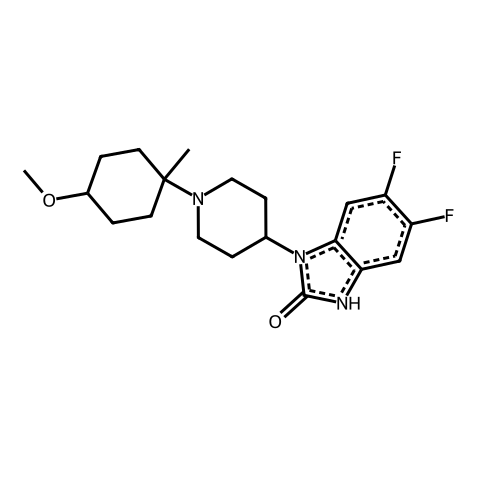 COC1CCC(C)(N2CCC(n3c(=O)[nH]c4cc(F)c(F)cc43)CC2)CC1